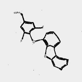 CC(C)(C)c1cc(F)c(Oc2cccc3c2oc2ccccc23)c(F)c1